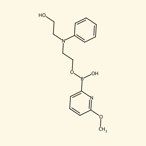 COc1cccc(B(O)OCCN(CCO)c2ccccc2)n1